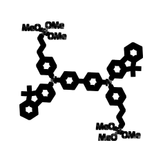 CO[Si](CCCc1ccc(N(c2ccc(-c3ccc(N(c4ccc(CCC[Si](OC)(OC)OC)cc4)c4ccc5c(c4)C(C)(C)c4ccccc4-5)cc3)cc2)c2ccc3c(c2)C(C)(C)c2ccccc2-3)cc1)(OC)OC